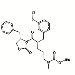 CN(CCCC(Cc1cccc(SCl)c1)C(=O)N1C(=O)OC[C@@H]1Cc1ccccc1)C(=O)OC(C)(C)C